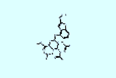 COC(=O)[C@H]1OC(Oc2cccc3sc(CO)cc23)[C@H](OC(C)=O)[C@@H](OC(C)=O)[C@@H]1OC(C)=O